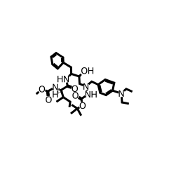 CCC(C)[C@H](NC(=O)OC)C(=O)NC(Cc1ccccc1)C(O)CN(Cc1ccc(N(CC)CC)cc1)NC(=O)OC(C)(C)C